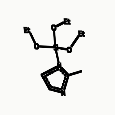 CCO[Si](OCC)(OCC)n1ccnc1C